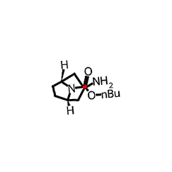 CCCCOC(=O)N1[C@@H]2CC[C@H]1CC(N)C2